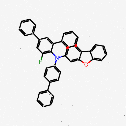 Fc1cc(-c2ccccc2)cc(-c2ccccc2)c1N(c1ccc(-c2ccccc2)cc1)c1ccc2c(c1)oc1ccccc12